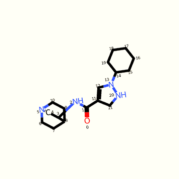 O=C(NC1CN2CCC1CC2)C1=CN(C2CCCCC2)NC1